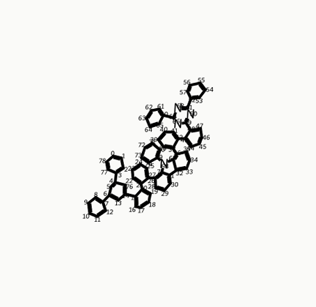 c1ccc(-c2cc(-c3ccccc3)cc(-c3ccccc3-c3ccccc3-c3cccc4c5cccc(-c6ccccc6-c6ccccc6-c6nc(-c7ccccc7)nc(-c7ccccc7)n6)c5n(-c5ccccc5)c34)c2)cc1